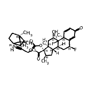 C[C@@H]1C[C@H]2[C@@H]3C[C@H](F)C4=CC(=O)C=C[C@]4(C)C3(F)[C@@H](O)C[C@]2(C)[C@]1(OC(=O)O[C@@H]1C[C@H]2CC[C@]1(C)C2(C)C)C(=O)OCC#N